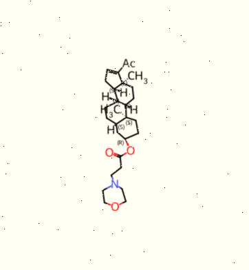 CC(=O)C1=CC[C@H]2[C@H]3CC[C@H]4C[C@H](OC(=O)CCN5CCOCC5)CC[C@]4(C)[C@H]3CC[C@]12C